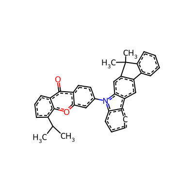 CC(C)c1cccc2c(=O)c3ccc(-n4c5ccccc5c5cc6c(cc54)C(C)(C)c4ccccc4-6)cc3oc12